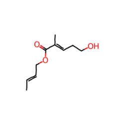 CC=CCOC(=O)C(C)=CCCO